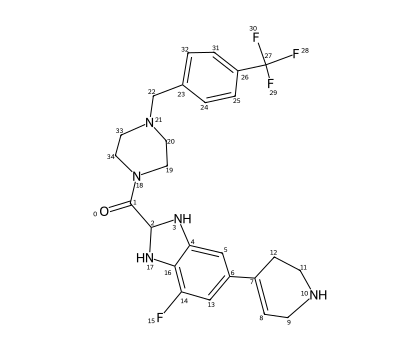 O=C(C1Nc2cc(C3=CCNCC3)cc(F)c2N1)N1CCN(Cc2ccc(C(F)(F)F)cc2)CC1